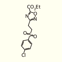 CCOC(=O)c1nc(CCS(=O)(=O)c2ccc(Cl)cc2)no1